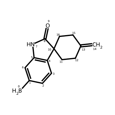 Bc1ccc2c(c1)NC(=O)C21CCC(=C)CC1